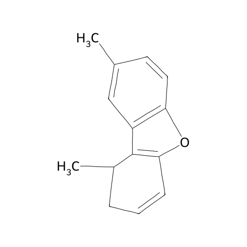 Cc1ccc2oc3c(c2c1)C(C)CC=C3